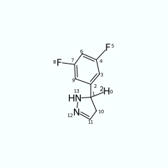 [2H]C1(c2cc(F)cc(F)c2)CC=NN1